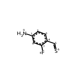 Nc1ccc(C=S)c(F)c1